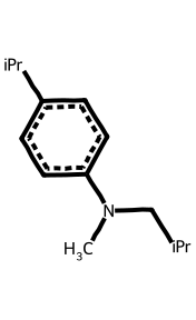 CC(C)CN(C)c1ccc(C(C)C)cc1